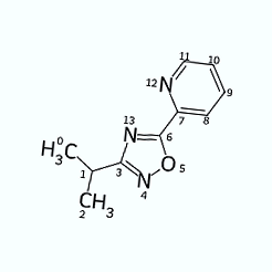 CC(C)c1noc(-c2ccccn2)n1